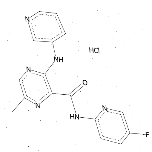 Cc1cnc(Nc2cccnc2)c(C(=O)Nc2ccc(F)cn2)n1.Cl